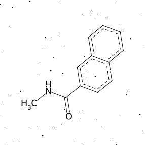 CNC(=O)c1ccc2c[c]ccc2c1